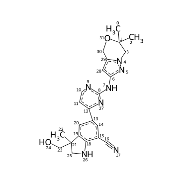 CC1(C)Cn2nc(Nc3nccc(-c4cc(C#N)c5c(c4)C(C)(CO)CN5)n3)cc2CO1